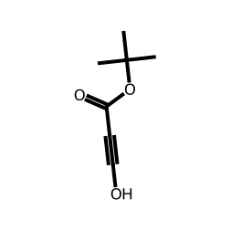 CC(C)(C)OC(=O)C#CO